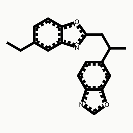 CCc1ccc2oc(CC(C)c3ccc4ncoc4c3)nc2c1